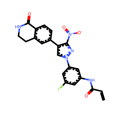 C=CC(=O)Nc1cc(F)cc(-n2cc(-c3ccc4c(c3)CCNC4=O)c([N+](=O)[O-])n2)c1